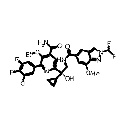 CCOc1c(C(N)=O)cc([C@@](O)(CNC(=O)c2cc(OC)c3nn(C(F)F)cc3c2)C2CC2)nc1-c1cc(F)c(F)c(Cl)c1